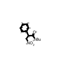 CCCCC(=O)C(C[N+](=O)[O-])c1ccccc1